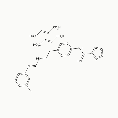 Cc1cccc(N=CNCCc2ccc(NC(=N)c3cccs3)cc2)c1.O=C(O)/C=C/C(=O)O.O=C(O)/C=C/C(=O)O